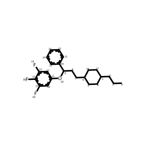 CCCC1CCC(CCC(Oc2cc(F)c(F)c(F)c2)c2ccccc2)CC1